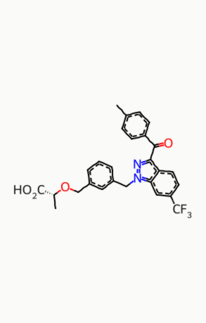 Cc1ccc(C(=O)c2nn(Cc3cccc(CO[C@H](C)C(=O)O)c3)c3cc(C(F)(F)F)ccc23)cc1